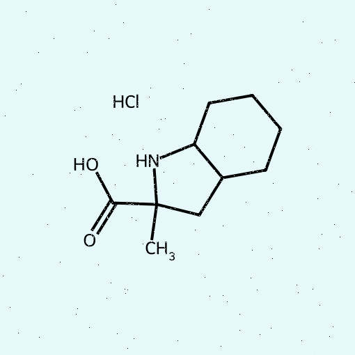 CC1(C(=O)O)CC2CCCCC2N1.Cl